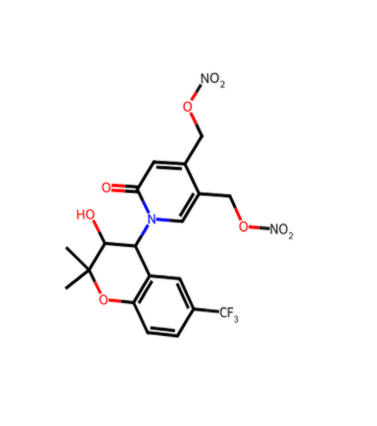 CC1(C)Oc2ccc(C(F)(F)F)cc2C(n2cc(CO[N+](=O)[O-])c(CO[N+](=O)[O-])cc2=O)C1O